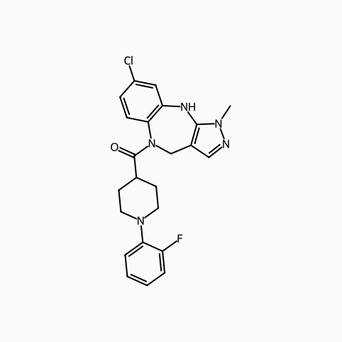 Cn1ncc2c1Nc1cc(Cl)ccc1N(C(=O)C1CCN(c3ccccc3F)CC1)C2